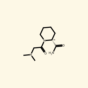 CN(C)CC(=O)N1CCC[CH][C@@H]1C(N)=O